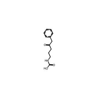 O=C(CCCNC(=O)O)Cc1ccccc1